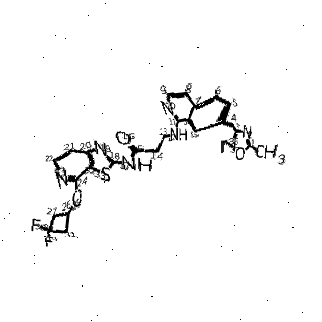 Cc1nc(-c2ccc3ccnc(NCCC(=O)Nc4nc5ccnc(OC6CC(F)(F)C6)c5s4)c3c2)no1